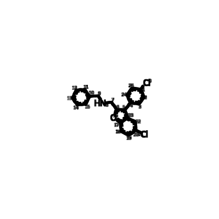 Clc1ccc(-c2c(CNCc3ccccc3)oc3ccc(Cl)cc23)cc1